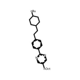 CCCCCCCCc1cnc(-c2ccc(CCC3CCC(CCCC)CC3)cc2)nc1